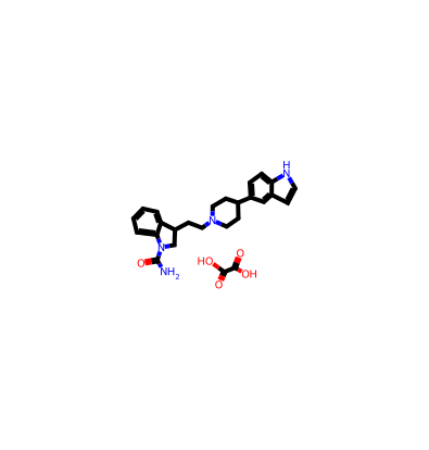 NC(=O)N1CC(CCN2CCC(c3ccc4[nH]ccc4c3)CC2)c2ccccc21.O=C(O)C(=O)O